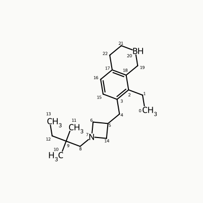 CCc1c(CC2CN(CC(C)(C)CC)C2)ccc2c1CBCC2